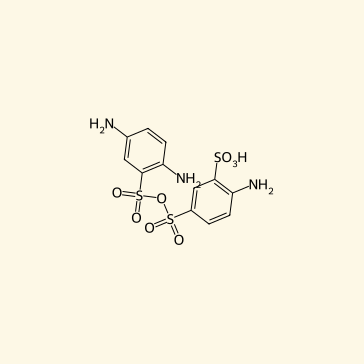 Nc1ccc(N)c(S(=O)(=O)OS(=O)(=O)c2ccc(N)c(S(=O)(=O)O)c2)c1